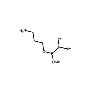 COP(OCCCN)N(C(C)C)C(C)C